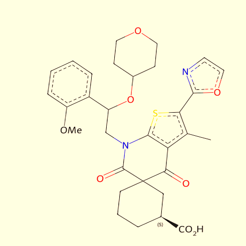 COc1ccccc1C(CN1C(=O)C2(CCC[C@H](C(=O)O)C2)C(=O)c2c1sc(-c1ncco1)c2C)OC1CCOCC1